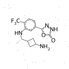 C[C@H](Nc1cc(-c2n[nH]c(=O)o2)ccc1C(F)(F)F)C1CC(N)C1